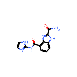 NC(=O)c1nc2c(C(=O)Nc3ncc[nH]3)cccc2[nH]1